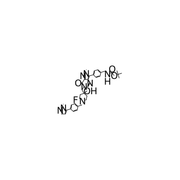 Cn1nccc1-c1ccc(CN2CCC(O)(Cn3cnc4c(-c5ccc(CNC(=O)OC(C)(C)C)cc5)n(C)nc4c3=O)CC2)c(F)c1